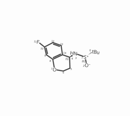 CC(C)(C)[S@+]([O-])N[C@H]1CCOc2cc(F)ccc21